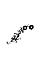 CCOP(=O)(OCC)C(=O)NCCCCNS(=O)(=O)c1ccc(Oc2ccccc2)cc1